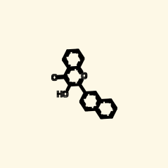 O=c1c(O)c(-c2ccc3ccccc3c2)oc2ccccc12